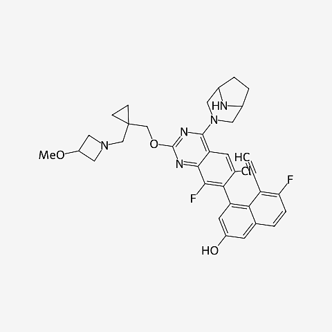 C#Cc1c(F)ccc2cc(O)cc(-c3c(Cl)cc4c(N5CC6CCC(C5)N6)nc(OCC5(CN6CC(OC)C6)CC5)nc4c3F)c12